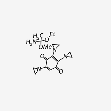 CCOC(C)(N)OC.O=C1C=C(N2CC2)C(=O)C(N2CC2)=C1N1CC1